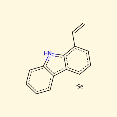 C=Cc1cccc2c1[nH]c1ccccc12.[Se]